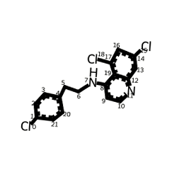 Clc1ccc(CCNc2ccnc3cc(Cl)cc(Cl)c23)cc1